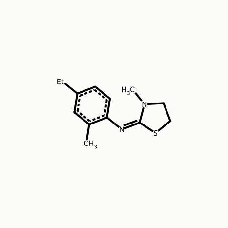 CCc1ccc(N=C2SCCN2C)c(C)c1